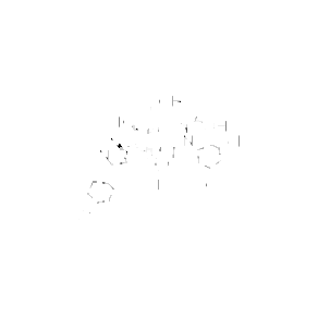 CO[C@@H]1[C@@H](n2cc(-c3ccc(Cl)c(F)c3)nn2)[C@@H](O)[C@@H](CO)O[C@H]1C(=O)N(c1cc(Cl)cc(Cl)c1)[C@H]1CCCC[C@@H]1O